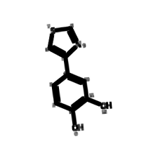 Oc1ccc(-c2cscn2)cc1O